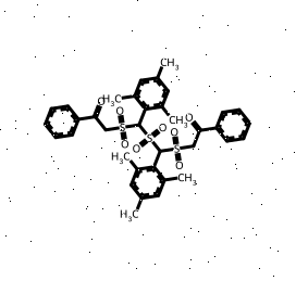 Cc1cc(C)c(C(S(=O)(=O)CC(=O)c2ccccc2)S(=O)(=O)C(c2c(C)cc(C)cc2C)S(=O)(=O)CC(=O)c2ccccc2)c(C)c1